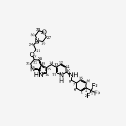 FC(F)(F)C1=CCC(CNC2C=CC(Cc3c[nH]c4c3=CC(OCCN3CCOCC3)CN=4)=CN2)C=C1